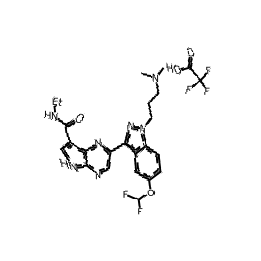 CCNC(=O)c1c[nH]c2ncc(-c3nn(CCCN(C)C)c4ccc(OC(F)F)cc34)nc12.O=C(O)C(F)(F)F